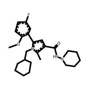 COc1ccc(F)cc1-c1cc(C(=O)NN2CCCCC2)c(C)n1CC1CCCCC1